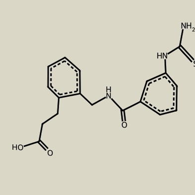 NC(=S)Nc1cccc(C(=O)NCc2ccccc2CCC(=O)O)c1